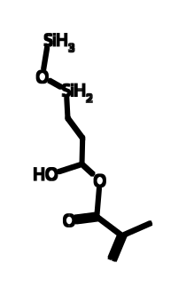 C=C(C)C(=O)OC(O)CC[SiH2]O[SiH3]